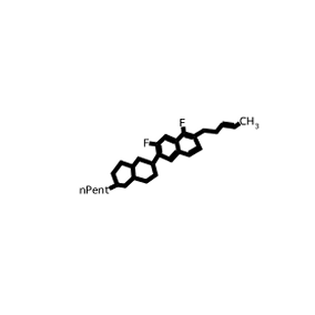 CC=CCCc1ccc2cc(C3CCC4CC(CCCCC)CCC4C3)c(F)cc2c1F